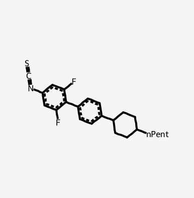 CCCCCC1CCC(c2ccc(-c3c(F)cc(N=C=S)cc3F)cc2)CC1